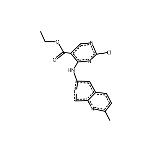 CCOC(=O)c1cnc(Cl)nc1Nc1ccc2nc(C)ccc2c1